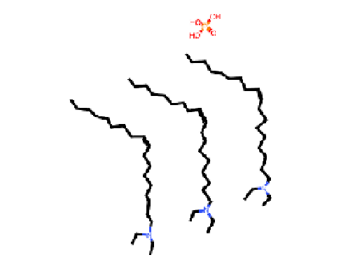 CCCCCCCC/C=C\CCCCCCCCN(CC)CC.CCCCCCCC/C=C\CCCCCCCCN(CC)CC.CCCCCCCC/C=C\CCCCCCCCN(CC)CC.O=P(O)(O)O